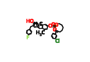 Cc1cc(OC[P@]2(=O)OCCCCC[C@@H](c3cccc(Cl)c3)O2)cc(C)c1Cc1ccc(O)c(Cc2ccc(F)cc2)c1